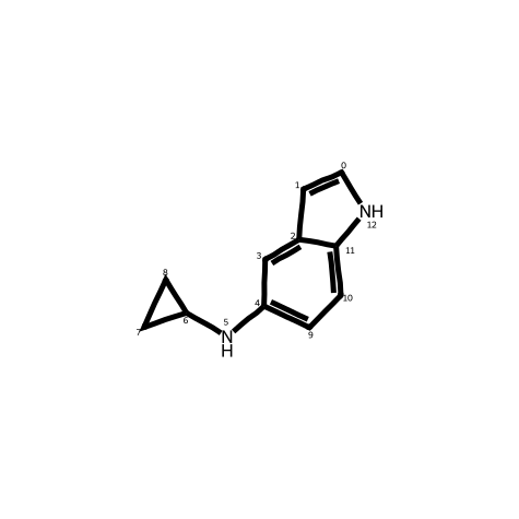 c1cc2cc(NC3CC3)ccc2[nH]1